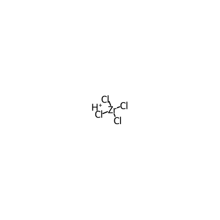 [Cl][Zr]([Cl])([Cl])[Cl].[H+]